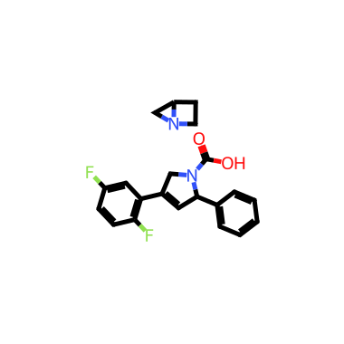 C1CN2CC12.O=C(O)N1CC(c2cc(F)ccc2F)=CC1c1ccccc1